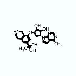 Cc1ncnc2c1ccn2[C@@H]1CC(Oc2cc(C(C)(C)O)cc3c2CNCC3)[C@@H](O)[C@H]1O